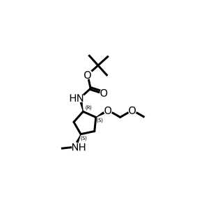 CN[C@@H]1C[C@H](OCOC)[C@H](NC(=O)OC(C)(C)C)C1